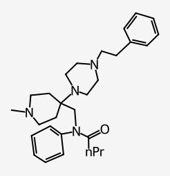 CCCC(=O)N(CC1(N2CCN(CCc3ccccc3)CC2)CCN(C)CC1)c1ccccc1